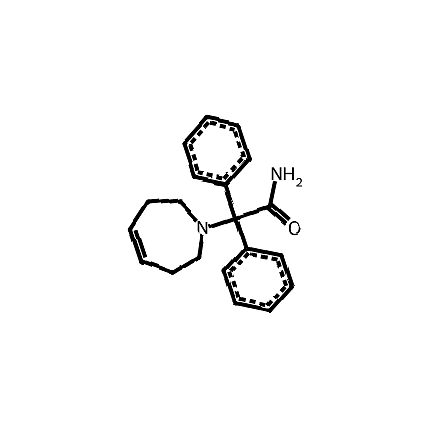 NC(=O)C(c1ccccc1)(c1ccccc1)N1CCC=CCC1